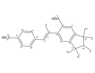 CCCCCCCCc1cc2c(cc1/C(C)=C/c1ccc(C(=O)O)cc1)C(C)(C)C(C)C2(C)C